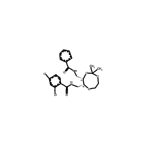 CC1(C)OCCO[C@H](CNC(=O)c2ccc(Cl)cc2Cl)[C@H](CNC(=O)c2ccccc2)O1